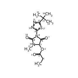 CCC(=O)OC1C(=O)N(c2nnc(C(C)(C)C)s2)C(=O)N1C